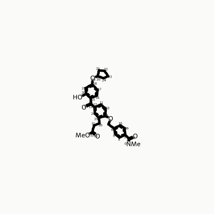 CNC(=O)c1ccc(COc2ccc(C(=O)c3ccc(OC4CCCC4)cc3O)cc2CCC(=O)OC)cc1